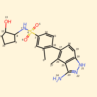 Cc1cc(S(=O)(=O)NC2CCCC2O)ccc1-c1ccc2[nH]nc(N)c2c1C